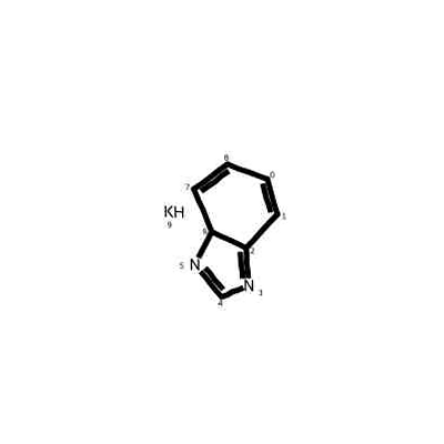 C1=CC2=NC=NC2C=C1.[KH]